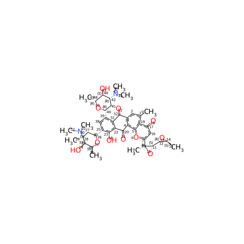 Cc1cc2c(c3oc([C@]4(C)O[C@H]4[C@@H]4O[C@H]4C)cc(=O)c13)C(=O)c1c(O)c([C@H]3C[C@](C)(N(C)C)[C@H](O)[C@H](C)O3)cc([C@H]3C[C@@H](N(C)C)[C@H](O)[C@@H](C)O3)c1C2=O